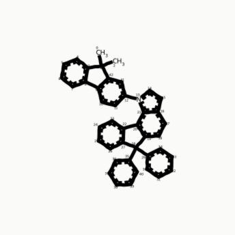 CC1(C)c2ccccc2-c2ccc(-n3ccc4ccc5c(c43)-c3ccccc3C5(c3ccccc3)c3ccccc3)cc21